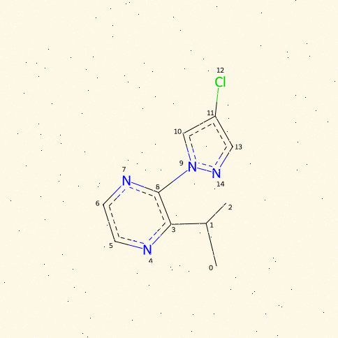 CC(C)c1nccnc1-n1cc(Cl)cn1